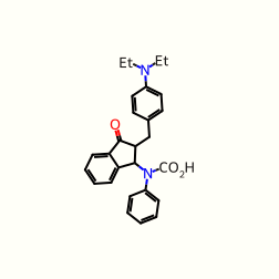 CCN(CC)c1ccc(CC2C(=O)c3ccccc3C2N(C(=O)O)c2ccccc2)cc1